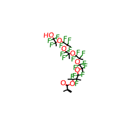 C=C(C)C(=O)OC(C)(F)C(C)(F)C(F)(F)OC(C)(F)C(F)(F)OC(C)(F)C(F)(F)OC(C)(F)C(F)(F)OC(C)(F)C(F)(F)OC(C)(F)C(O)(F)F